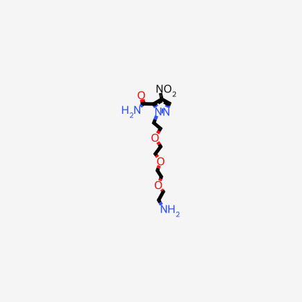 NCCOCCOCCOCCn1ncc([N+](=O)[O-])c1C(N)=O